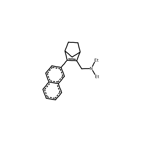 CCN(CC)CC1=C(c2ccc3ccccc3c2)C2CCC1C2